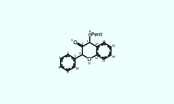 CCCCCC1C(=O)C(c2ccccc2)Oc2ccccc21